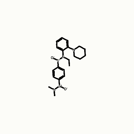 CCN(c1ccccc1N1CCCCC1)[S+]([O-])c1ccc([S+]([O-])N(C)C)cc1